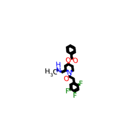 CNCC1CC(OC(=O)c2ccccc2)CCN1C(=O)Cc1cc(F)c(F)cc1F